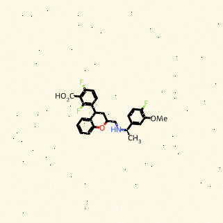 COc1cc([C@@H](C)NCC2CC(c3ccc(F)c(C(=O)O)c3F)c3ccccc3O2)ccc1F